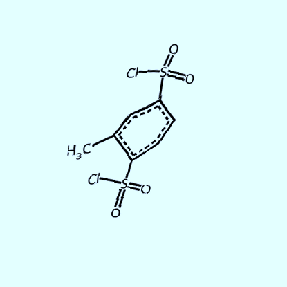 Cc1cc(S(=O)(=O)Cl)ccc1S(=O)(=O)Cl